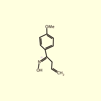 C=CC/C(=N\O)c1ccc(OC)cc1